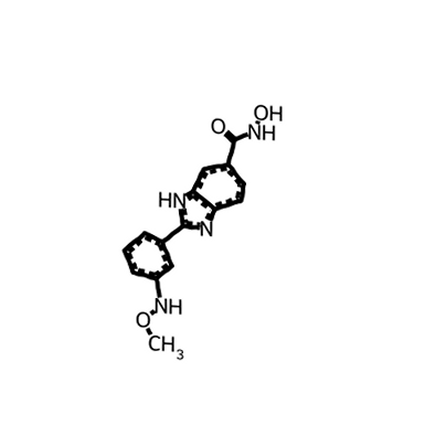 CONc1cccc(-c2nc3ccc(C(=O)NO)cc3[nH]2)c1